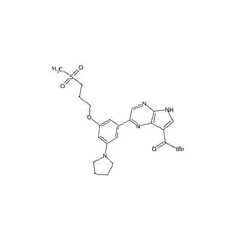 CC(C)(C)C(=O)c1c[nH]c2ncc(-c3cc(OCCCS(C)(=O)=O)cc(N4CCCC4)c3)nc12